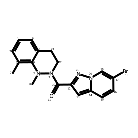 Cc1cccc2c1N(C)N(C(=O)c1cc3ccc(Br)cn3n1)CC2